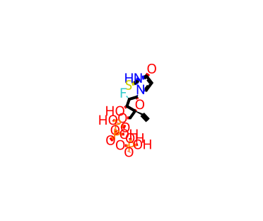 C#C[C@]1(COP(=O)(O)OP(=O)(O)OP(=O)(O)O)O[C@@H](n2ccc(=O)[nH]c2=S)[C@@H](F)C1O